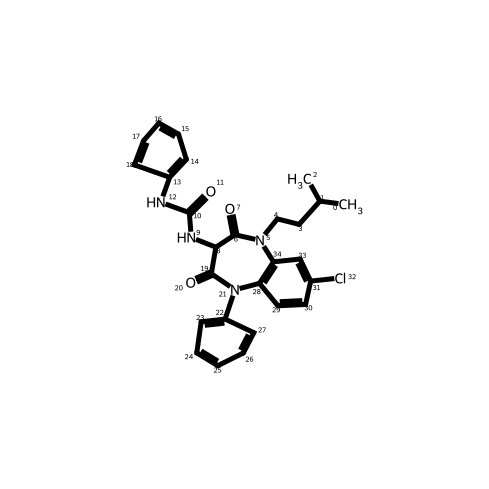 CC(C)CCN1C(=O)C(NC(=O)Nc2ccccc2)C(=O)N(c2ccccc2)c2ccc(Cl)cc21